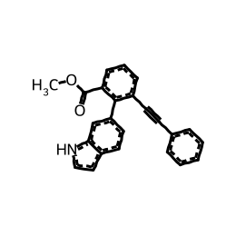 COC(=O)c1cccc(C#Cc2ccccc2)c1-c1ccc2cc[nH]c2c1